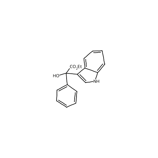 CCOC(=O)C(O)(c1ccccc1)c1c[nH]c2ccccc12